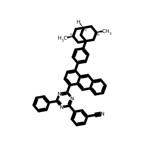 C[C@@H]1C[C@@H]2C[C@H](C)CC(c3ccc(-c4ccc(-c5nc(-c6ccccc6)nc(-c6cccc(C#N)c6)n5)c5cc6ccccc6cc45)cc3)(C1)C2